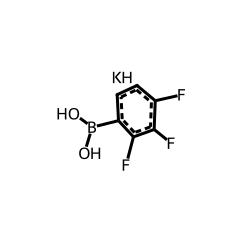 OB(O)c1ccc(F)c(F)c1F.[KH]